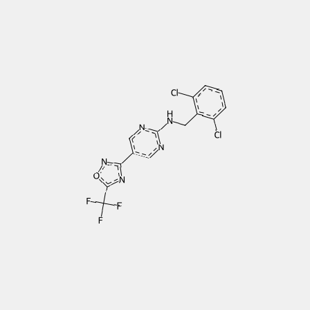 FC(F)(F)c1nc(-c2cnc(NCc3c(Cl)cccc3Cl)nc2)no1